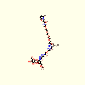 CC(C)C(=O)OCc1ccc(O[C@@H]2O[C@H](CO)[C@H](O)[C@H](O)[C@H]2O)c(NC(=O)CCNC(=O)COCCNC(=O)[C@@H](CS(=O)(=O)O)NC(=O)CCOCCOCCOCCOCCNC(=O)CCN2C(=O)C=CC2=O)c1